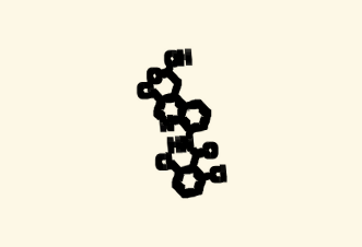 O=C(O)Cc1c(Cl)cnc2c(NC(=O)c3c(Cl)cccc3Cl)cccc12